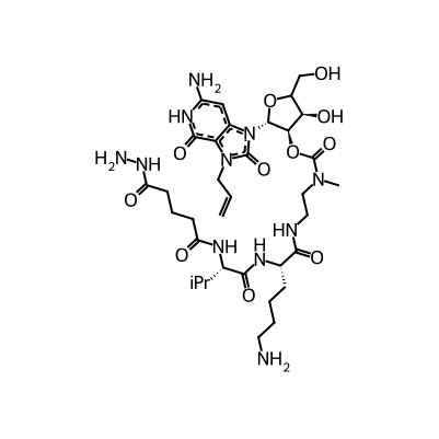 C=CCn1c(=O)n([C@@H]2OC(CO)[C@@H](O)[C@H]2OC(=O)N(C)CCNC(=O)[C@H](CCCCN)NC(=O)[C@@H](NC(=O)CCCC(=O)NN)C(C)C)c2cc(N)[nH]c(=O)c21